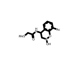 CSCC(=O)NC1CB(O)Oc2c(C(C)=O)cccc21